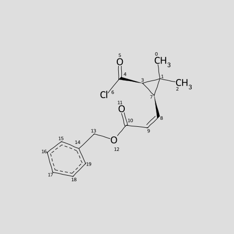 CC1(C)[C@H](C(=O)Cl)[C@@H]1/C=C\C(=O)OCc1ccccc1